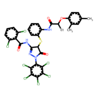 CCC(Oc1ccc(C)cc1C)C(=O)Nc1ccccc1SC1C(=O)N(c2c(Cl)c(Cl)c(Cl)c(Cl)c2Cl)N=C1NC(=O)c1c(Cl)cccc1Cl